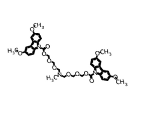 COc1ccc2c(c1)c1cc(OC)ccc1n2C(=O)OCOCOCN(C)COCOCOC(=O)n1c2ccc(OC)cc2c2cc(OC)ccc21